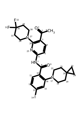 CC(=O)c1ccc(NC(=O)c2ccc(I)cc2N2CCC3(CC2)CC3)nc1N1CCC(F)(F)CC1